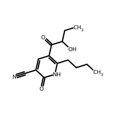 CCCCc1[nH]c(=O)c(C#N)cc1C(=O)C(O)CC